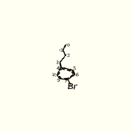 C[CH]CCc1ccc(Br)cc1